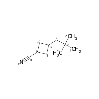 CC(C)(C)CC1CC(C#N)C1